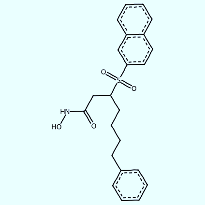 O=C(CC(CCCCc1ccccc1)S(=O)(=O)c1ccc2ccccc2c1)NO